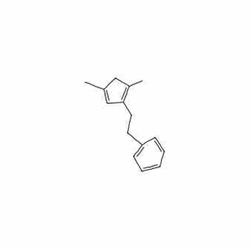 CC1=CC(CCc2ccccc2)=C(C)C1